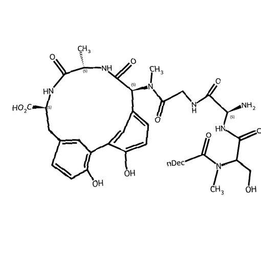 CCCCCCCCCCC(=O)N(C)C(CO)C(=O)N[C@H](N)C(=O)NCC(=O)N(C)[C@@H]1C(=O)N[C@@H](C)C(=O)N[C@H](C(=O)O)Cc2ccc(O)c(c2)-c2cc1ccc2O